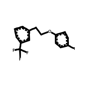 FC(F)(F)c1cccc(CCOc2ccc(I)cc2)c1